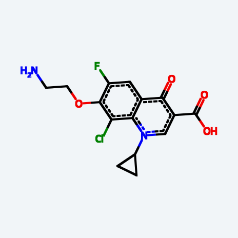 NCCOc1c(F)cc2c(=O)c(C(=O)O)cn(C3CC3)c2c1Cl